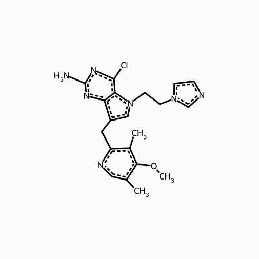 COc1c(C)cnc(Cc2cn(CCn3ccnc3)c3c(Cl)nc(N)nc23)c1C